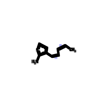 C/C=C\C=C/c1ccsc1N